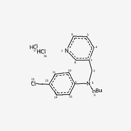 CCCCN(Cc1cccnc1)c1ccc(Cl)cc1.Cl.Cl